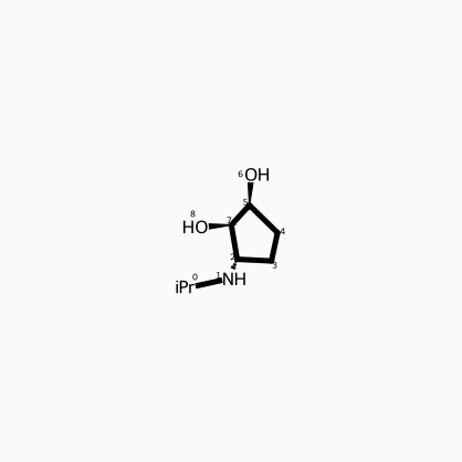 CC(C)N[C@H]1CC[C@H](O)[C@@H]1O